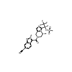 C[C@H]1CN(C(=O)c2c3ccc(C#N)cc3nn2C)Cc2cnc([C@@](C)(OS(C)(=O)=O)C(F)(F)F)n21